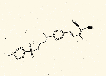 CC(/C=C/c1ccc(N(C)CCOS(=O)(=O)c2ccc(C)cc2)cc1)=C(C#N)C#N